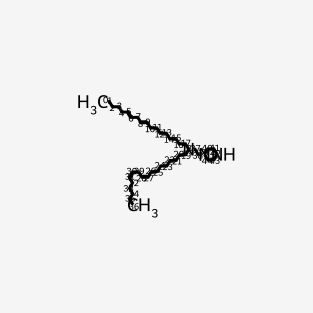 CCCCCC=CCC=CCCCCCCCCN(CCCCCCCC/C=C\C/C=C\CCCCC)CCN1CCNCC1